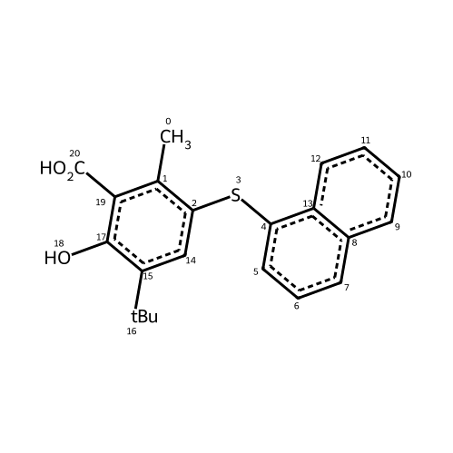 Cc1c(Sc2cccc3ccccc23)cc(C(C)(C)C)c(O)c1C(=O)O